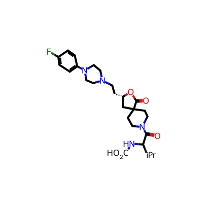 CC(C)C(NC(=O)O)C(=O)N1CCC2(CC1)C[C@H](CCN1CCN(c3ccc(F)cc3)CC1)OC2=O